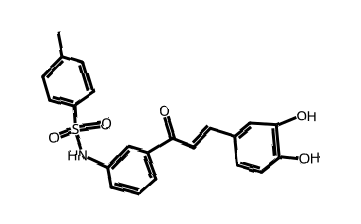 Cc1ccc(S(=O)(=O)Nc2cccc(C(=O)C=Cc3ccc(O)c(O)c3)c2)cc1